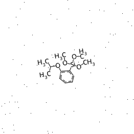 CO[Si](OC)(OC)c1ccccc1OC(C)C